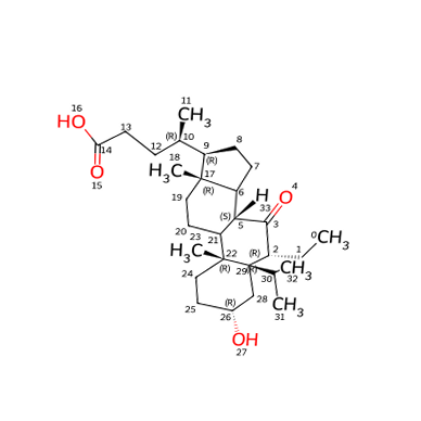 CC[C@H]1C(=O)[C@H]2C3CC[C@H]([C@H](C)CCC(=O)O)[C@@]3(C)CCC2[C@@]2(C)CC[C@@H](O)C[C@@]12C(C)C